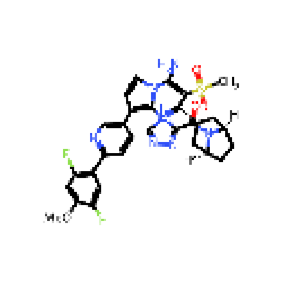 COc1cc(F)c(-c2ccc(-c3ccn4c(N)c(S(C)(=O)=O)c([C@@H]5C[C@H]6CC[C@@H](C5)N6C(=O)c5nnc[nH]5)nc34)cn2)cc1F